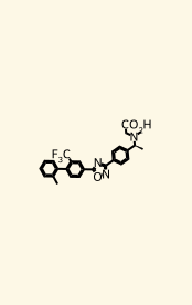 Cc1ccccc1-c1ccc(-c2nc(-c3ccc([C@H](C)N(C)CC(=O)O)cc3)no2)cc1C(F)(F)F